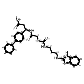 O=C(O)CC(NC(=O)CNC(=O)NCCCNc1nc2ccccc2[nH]1)c1ccc(-c2ccccc2)cc1